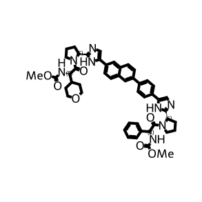 COC(=O)N[C@H](C(=O)N1CCC[C@H]1c1ncc(-c2ccc3cc(-c4ccc(-c5cnc([C@@H]6CCCN6C(=O)[C@H](NC(=O)OC)c6ccccc6)[nH]5)cc4)ccc3c2)[nH]1)C1CCOCC1